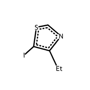 CCc1ncsc1I